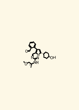 COC[C@H](C)Nc1ncc2c(-c3ccccc3C=O)cc([C@H]3CC[C@H](O)CC3)n2n1